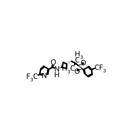 CC(C)(C[C@H]1C[C@@H](NC(=O)c2ccc(C(F)(F)F)nc2)C1)S(=O)(=O)c1cccc(C(F)(F)F)c1